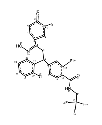 Cn1cc(/C(CC(c2ccc(C(=O)NCC(F)(F)F)c(F)c2)c2ccccc2Cl)=N\O)ccc1=O